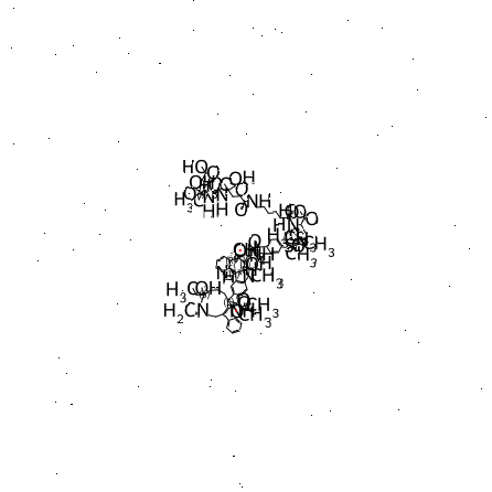 C=CN1CCc2c([nH]c3ccccc23)[C@@](C(=O)OC)(c2cc3c(cc2OC)N(C)[C@H]2[C@@](O)(CNC(=O)c4ccc([Si](C)(C)O[Si](C)(C)CC(NC(=O)CCCCCNC(=O)CCC(C)(NC(=O)N[C@@](C)(CCC(=O)O)C(=O)O)C(=O)O)C(=O)O)cc4)[C@H](O)[C@]4(CC)C=CCN5CC[C@]32[C@H]54)CCC[C@@](O)(CC)C1